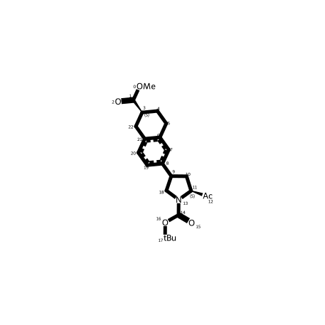 COC(=O)[C@H]1CCc2cc(C3C[C@@H](C(C)=O)N(C(=O)OC(C)(C)C)C3)ccc2C1